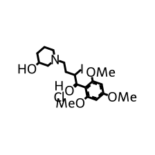 COc1cc(OC)c(C(=O)C(I)CCN2CCCC(O)C2)c(OC)c1.Cl